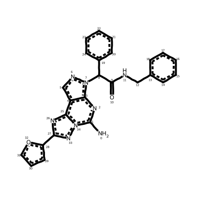 Nc1nc2c(cnn2C(C(=O)NCc2ccccc2)c2ccccc2)c2nc(-c3ccco3)nn12